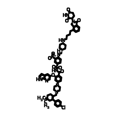 CC1(C)CCC(CN2CCN(c3ccc(C(=O)NS(=O)(=O)c4ccc(NC[C@H]5CC[C@@H](NCCCCc6cccc7c6CN(C6CCC(=O)NC6=O)C7=O)CC5)c([N+](=O)[O-])c4)c(Oc4cnc5[nH]ccc5c4)c3)CC2)=C(c2ccc(Cl)cc2)C1